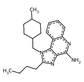 CCCCc1nc2c(N)nc3ccccc3c2n1CC1CCC(C)CC1